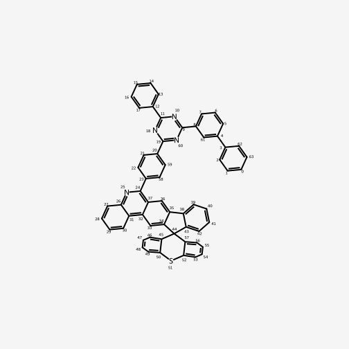 c1ccc(-c2cccc(-c3nc(-c4ccccc4)nc(-c4ccc(-c5nc6ccccc6c6cc7c(cc56)-c5ccccc5C75c6ccccc6Sc6ccccc65)cc4)n3)c2)cc1